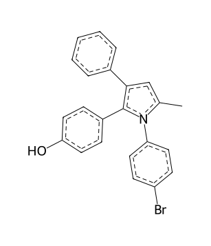 Cc1cc(-c2ccccc2)c(-c2ccc(O)cc2)n1-c1ccc(Br)cc1